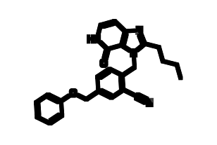 CCCCc1nc2cc[nH]c(=O)c2n1Cc1ccc(COc2ccccc2)cc1C#N